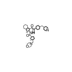 O=C(Nc1sc2c(c1C(=O)Nc1ccc(Cc3ccncc3)cc1)CCCC2)c1ccc(CN2CCOCC2)s1